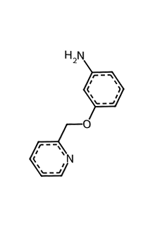 Nc1cccc(OCc2ccccn2)c1